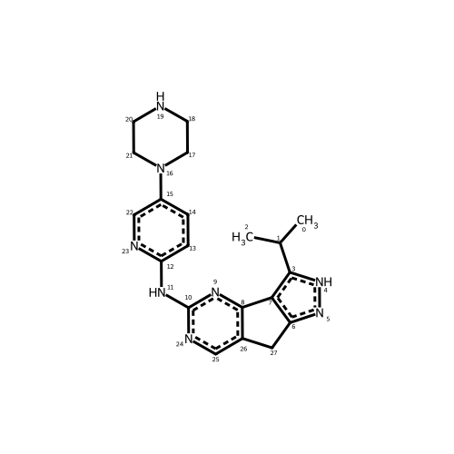 CC(C)c1[nH]nc2c1-c1nc(Nc3ccc(N4CCNCC4)cn3)ncc1C2